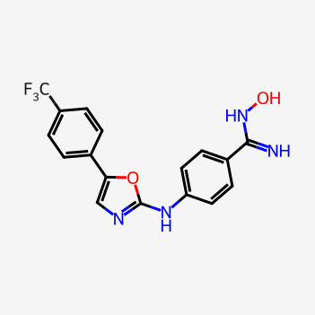 N=C(NO)c1ccc(Nc2ncc(-c3ccc(C(F)(F)F)cc3)o2)cc1